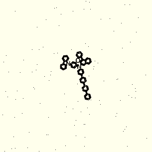 c1ccc(-c2ccc(-c3ccc(-c4ccc(N(c5ccc(-n6c7ccccc7c7ccccc76)cc5)c5cc6ccccc6c6c5oc5ccccc56)cc4)cc3)cc2)cc1